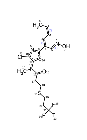 C\C=C/C=C(\C=N\O)c1nc(Cl)c(N(C)C(=O)CCSCCC(F)(F)F)s1